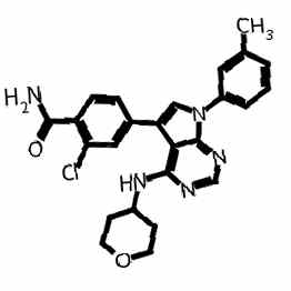 Cc1cccc(-n2cc(-c3ccc(C(N)=O)c(Cl)c3)c3c(NC4CCOCC4)ncnc32)c1